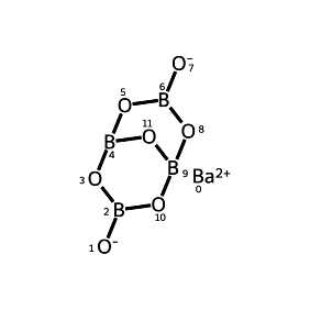 [Ba+2].[O-]B1OB2OB([O-])OB(O1)O2